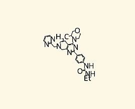 CCNC(=O)Nc1ccc(-c2nc3c(c(N4CCOCC4C)n2)CCN(Cc2ncccn2)C3)cc1